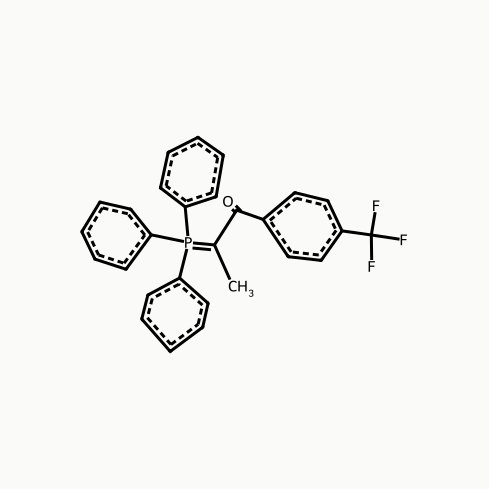 CC(C(=O)c1ccc(C(F)(F)F)cc1)=P(c1ccccc1)(c1ccccc1)c1ccccc1